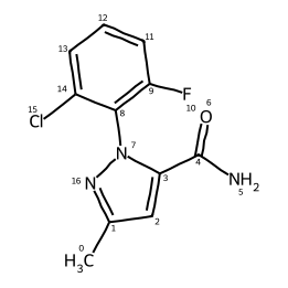 Cc1cc(C(N)=O)n(-c2c(F)cccc2Cl)n1